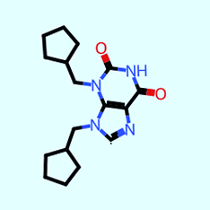 O=c1[nH]c(=O)n(CC2CCCC2)c2c1n[c]n2CC1CCCC1